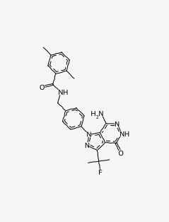 Cc1ccc(C)c(C(=O)NCc2ccc(-n3nc(C(C)(C)F)c4c(=O)[nH]nc(N)c43)cc2)c1